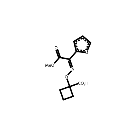 COC(=O)/C(=N\OC1(C(=O)O)CCC1)c1ccco1